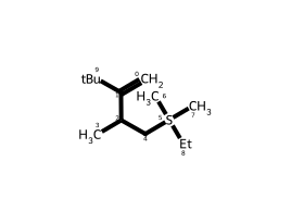 C=C(C(C)CS(C)(C)CC)C(C)(C)C